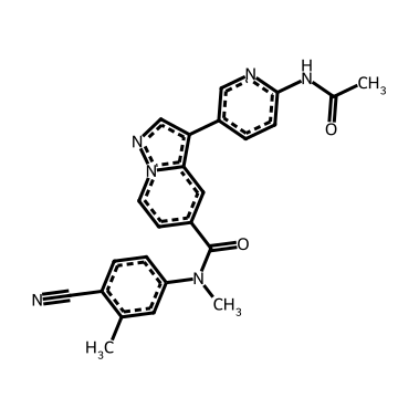 CC(=O)Nc1ccc(-c2cnn3ccc(C(=O)N(C)c4ccc(C#N)c(C)c4)cc23)cn1